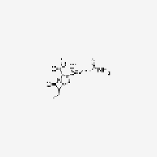 CCC1C(=O)N2C(C(=O)OC)=C([S+]([O-])CCCC(N)=O)CC12